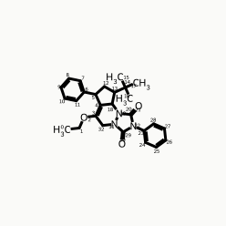 CCOC1=C2C(c3ccccc3)CC(C(C)(C)C)C2n2c(=O)n(-c3ccccc3)c(=O)n2C1